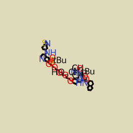 CC(C(=O)NC(C(=O)N1Cc2cc(OCCOCCOCCOCCOc3cc4nccc(Nc5ccc6scnc6c5)c4cc3S(=O)(=O)C(C)(C)C)ccc2CC1C(=O)N[C@@H]1CCCc2ccccc21)C(C)(C)C)N(C)C(=O)O